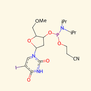 COCC1OC(n2cc(I)c(=O)[nH]c2=O)CC1OP(OCCC#N)N(C(C)C)C(C)C